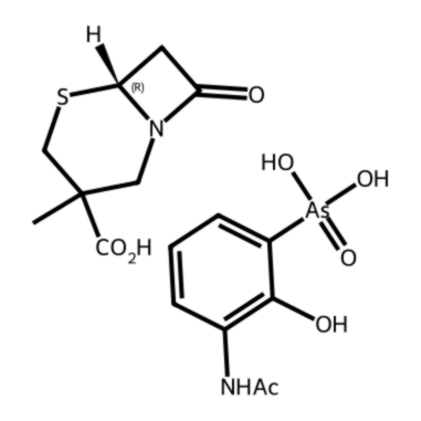 CC(=O)Nc1cccc([As](=O)(O)O)c1O.CC1(C(=O)O)CS[C@@H]2CC(=O)N2C1